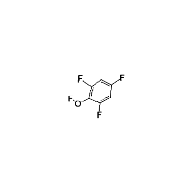 FOc1c(F)cc(F)cc1F